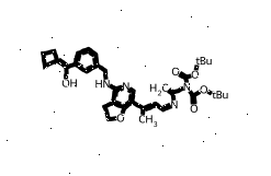 C=C(/N=C\C=C(/C)c1cnc(NCc2cccc(C(O)=C3CCC3)c2)c2c1OCC2)N(C(=O)OC(C)(C)C)C(=O)OC(C)(C)C